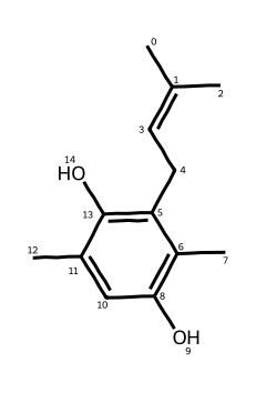 CC(C)=CCc1c(C)c(O)cc(C)c1O